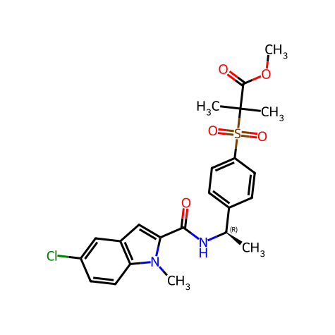 COC(=O)C(C)(C)S(=O)(=O)c1ccc([C@@H](C)NC(=O)c2cc3cc(Cl)ccc3n2C)cc1